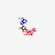 Nc1ncnc2c1ncn2C1OC(COP(=O)(O)OP(=O)(O)OP(=O)(O)O)C(O)C1Cl